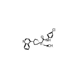 C#CC[C@@H](C(=O)Nc1ccc(Cl)cc1)[C@H]1CC[C@H](c2ccnc3ccccc32)CC1